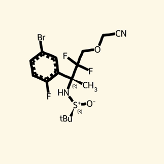 CC(C)(C)[S@+]([O-])N[C@](C)(c1cc(Br)ccc1F)C(F)(F)COCC#N